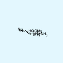 [N-]=[N+]=NCCCC#CCSC[C@H]1O[C@@H](n2cnc3c(N)ncnc32)[C@@H](O)C1O